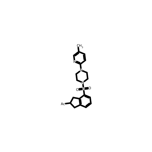 CC(=O)C1Cc2cccc(S(=O)(=O)N3CCN(c4ccc(C)cn4)CC3)c2C1